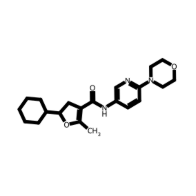 CC1=C(C(=O)Nc2ccc(N3CCOCC3)nc2)CC(C2CCCCC2)O1